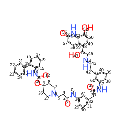 CN(C(=O)CCN1CCC(OC(=O)Nc2ccccc2-c2ccccc2)CC1)c1cccc(CC(=O)Nc2cccc(CCNC[C@H](O)c3ccc(O)c4[nH]c(=O)ccc34)c2)c1